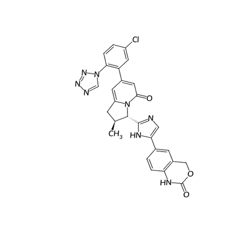 C[C@H]1Cc2cc(-c3cc(Cl)ccc3-n3cnnn3)cc(=O)n2[C@@H]1c1ncc(-c2ccc3c(c2)COC(=O)N3)[nH]1